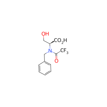 O=C(O)[C@H](CO)N(Cc1ccccc1)C(=O)C(F)(F)F